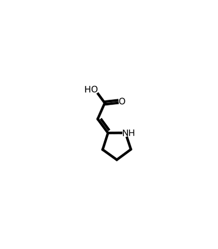 O=C(O)C=C1CCCN1